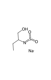 CCC(CO)N=S(=O)=O.[Na]